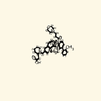 Cc1ccccc1C1=CC=CC(Nc2nccc3cc(CN4CCCCC4CC(=O)O)cnc23)(N(C)C(=O)CCN2CCOCC2)C1C